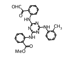 COC(=O)c1ccccc1Nc1nc(Nc2ccccc2C)nc(Nc2ccccc2C(=O)C=O)n1